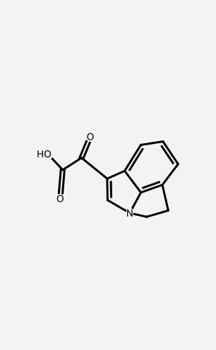 O=C(O)C(=O)c1cn2c3c(cccc13)CC2